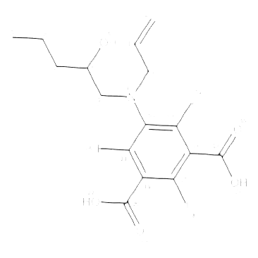 C=CCN(CC(O)CCC)c1c(I)c(C(=O)O)c(I)c(C(=O)O)c1I